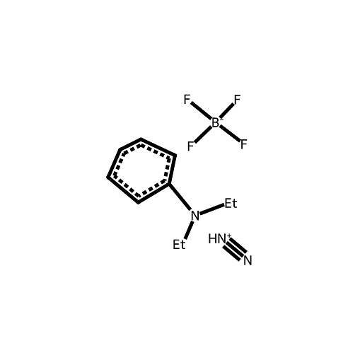 CCN(CC)c1ccccc1.F[B-](F)(F)F.N#[NH+]